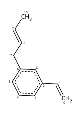 C=Cc1cccc(CC=CC)c1